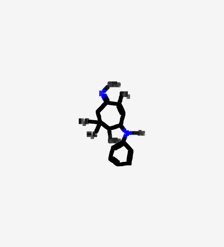 CON=C1CC(C)(C)C(OC)C(N(C(C)=O)c2ccccc2)C=C1C